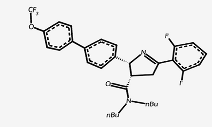 CCCCN(CCCC)C(=O)[C@H]1CC(c2c(F)cccc2F)=N[C@H]1c1ccc(-c2ccc(OC(F)(F)F)cc2)cc1